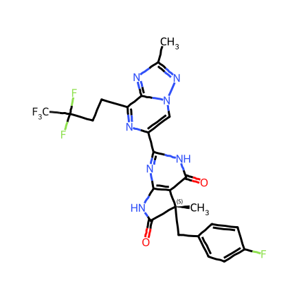 Cc1nc2c(CCC(F)(F)C(F)(F)F)nc(-c3nc4c(c(=O)[nH]3)[C@](C)(Cc3ccc(F)cc3)C(=O)N4)cn2n1